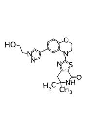 CC1(C)Cc2nc(N3CCOc4ccc(-c5cnn(CCO)c5)cc43)sc2C(=O)N1